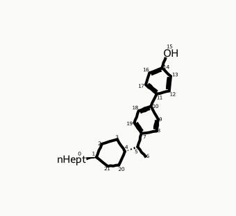 CCCCCCC[C@H]1CC[C@H](C(C)c2ccc(-c3ccc(O)cc3)cc2)CC1